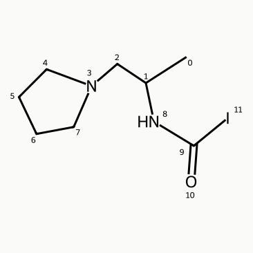 CC(CN1CCCC1)NC(=O)I